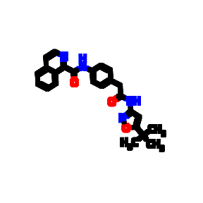 CC(C)(C)c1cc(NC(=O)Cc2ccc(NC(=O)c3nccc4ccccc34)cc2)no1